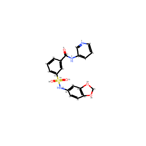 O=C(Nc1cccnc1)c1cccc(S(=O)(=O)Nc2ccc3c(c2)OCO3)c1